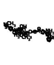 Cc1ncsc1-c1ccc([C@H](C)NC(=O)[C@@H]2C[C@@H](O)CN2C(=O)C(NC(=O)CCOCCOCCC(=O)N2CCN(c3cc(-c4ccccc4O)nnc3N)CC2)C(C)(C)C)cc1